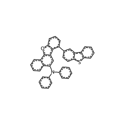 c1ccc(N(c2ccccc2)c2cc3c(oc4cccc(-c5ccc6sc7ccccc7c6c5)c43)c3ccccc23)cc1